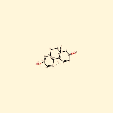 CC[C@@]12C=CC(=O)C[C@H]1CCc1cc(O)ccc12